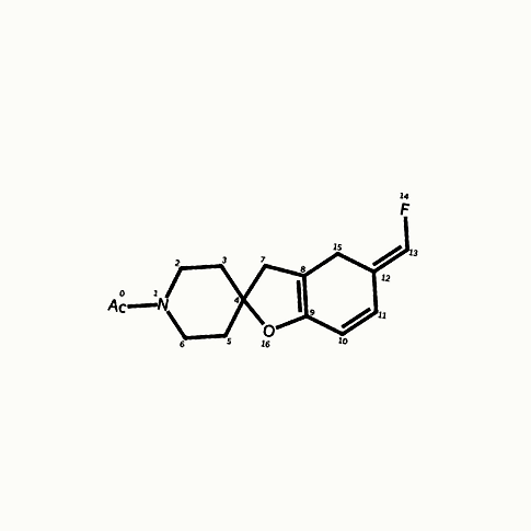 CC(=O)N1CCC2(CC1)CC1=C(C=C/C(=C/F)C1)O2